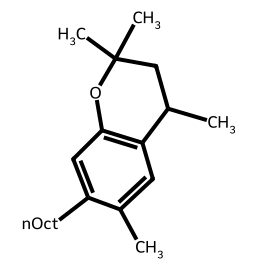 CCCCCCCCc1cc2c(cc1C)C(C)CC(C)(C)O2